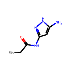 CC(C)(C)CC(=O)Nc1cc(N)[nH]n1